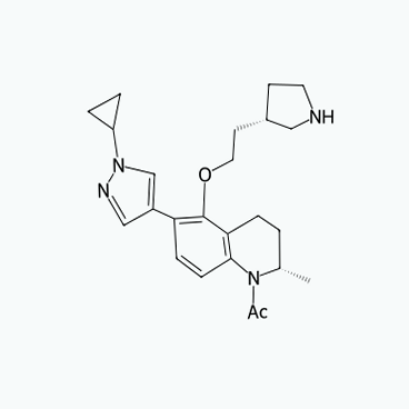 CC(=O)N1c2ccc(-c3cnn(C4CC4)c3)c(OCC[C@@H]3CCNC3)c2CC[C@@H]1C